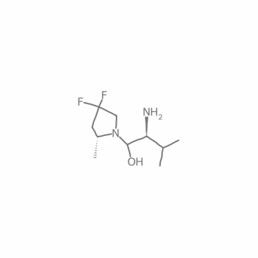 CC(C)[C@H](N)C(O)N1CC(F)(F)C[C@H]1C